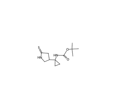 CC(C)(C)OC(=O)NC1(C2CNC(=S)C2)CC1